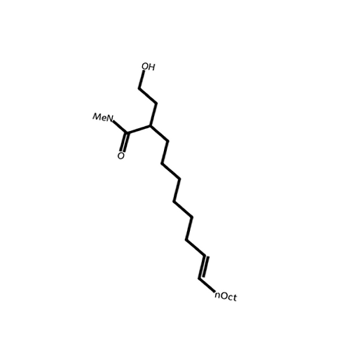 CCCCCCCCC=CCCCCCCC(CCO)C(=O)NC